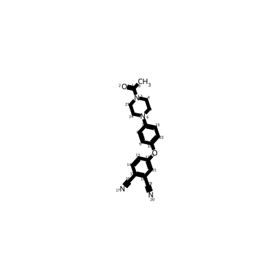 CC(=O)N1CCN(c2ccc(Oc3ccc(C#N)c(C#N)c3)cc2)CC1